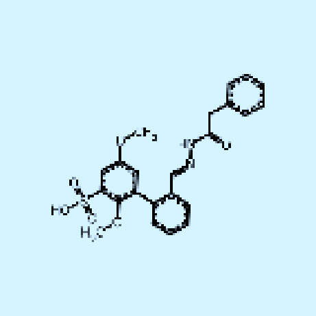 COc1cc(-c2ccccc2C=NNC(=O)Cc2ccccc2)c(OC)c(S(=O)(=O)O)c1